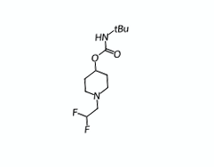 CC(C)(C)NC(=O)OC1CCN(CC(F)F)CC1